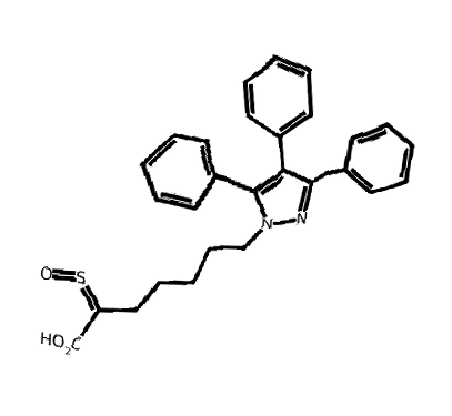 O=S=C(CCCCCn1nc(-c2ccccc2)c(-c2ccccc2)c1-c1ccccc1)C(=O)O